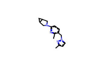 Cc1ccn(Cc2ccc(N3CC4CC4C3)nc2C)n1